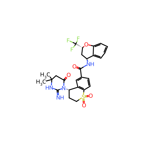 CC1(C)CC(=O)N([C@H]2CCS(=O)(=O)c3ccc(C(=O)N[C@H]4C[C@H](C(F)(F)F)Oc5ccccc54)cc32)C(=N)N1